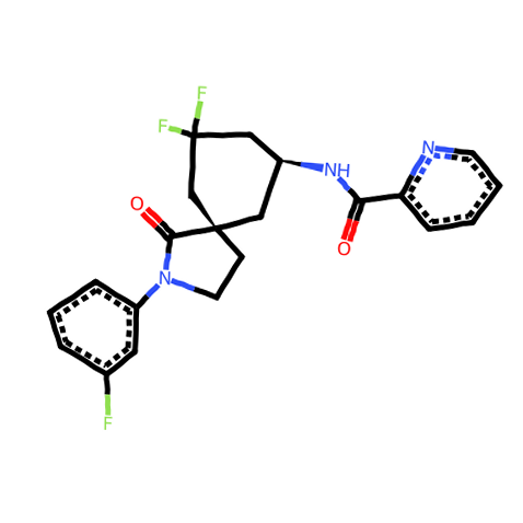 O=C(N[C@@H]1CC(F)(F)C[C@]2(CCN(c3cccc(F)c3)C2=O)C1)c1ccccn1